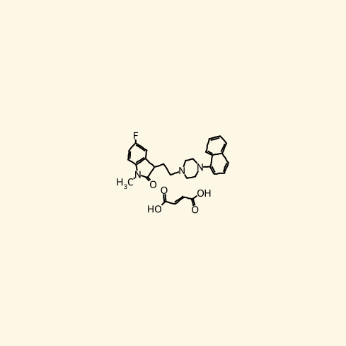 CN1C(=O)C(CCN2CCN(c3cccc4ccccc34)CC2)c2cc(F)ccc21.O=C(O)C=CC(=O)O